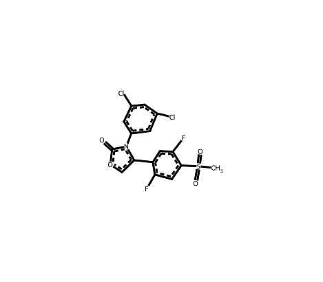 CS(=O)(=O)c1cc(F)c(-c2coc(=O)n2-c2cc(Cl)cc(Cl)c2)cc1F